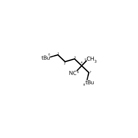 CC(C)(C)CCCC(C)(C#N)CC(C)(C)C